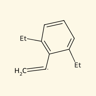 C=[C]c1c(CC)cccc1CC